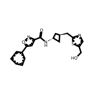 O=C(N[C@H]1C[C@H](Cc2ncc(CO)s2)C1)c1cc(-c2ccccc2)on1